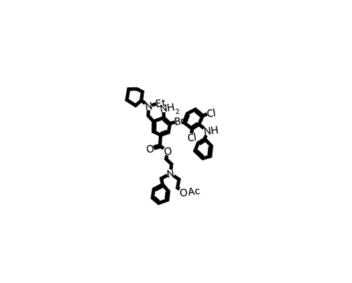 CCN(Cc1cc(C(=O)OCCN(CCOC(C)=O)Cc2ccccc2)cc(Br)c1N)C1CCCCC1.Clc1cccc(Cl)c1Nc1ccccc1